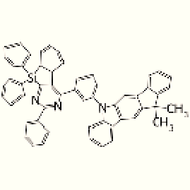 CC1(C)c2ccccc2-c2cc3c(cc21)c1ccccc1n3-c1cccc(-c2nc(-c3ccccc3)nc3c2C2C=CC=CC2[Si]3(c2ccccc2)c2ccccc2)c1